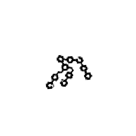 c1ccc(-c2ccc(-c3ccnc(-c4ccc(-c5ccccc5-c5cc(CCc6ccc(-c7ccccn7)cc6)cc(CCc6ccc(-c7ccccn7)cc6)c5)cc4)c3)cc2)cc1